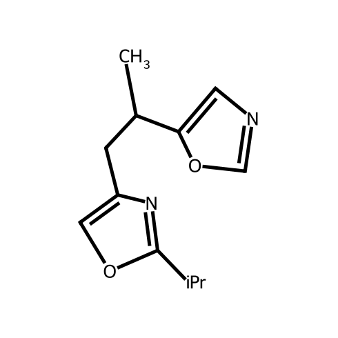 CC(C)c1nc(CC(C)c2cnco2)co1